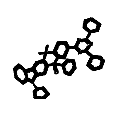 CC1(C)c2ccc(-c3nc(-c4ccccc4)nc(-c4ccccc4)n3)cc2P(=O)(c2ccccc2)c2cc3c(cc21)c1ccccc1n3-c1ccccc1